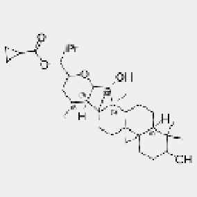 CC(C)C(OC(=O)C1CC1)C1C[C@@H](C)[C@H]2C(O1)[C@H](O)[C@@]1(C)C3CC[C@H]4C(C)(C)C(O)CCC45CC35CCC21C